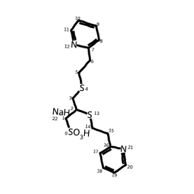 O=S(=O)(O)CC(CSCCc1ccccn1)SCCc1ccccn1.[NaH]